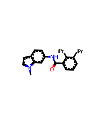 CC(C)c1cccc(C(=O)Nc2ccc3ccn(C)c3c2)c1C(C)C